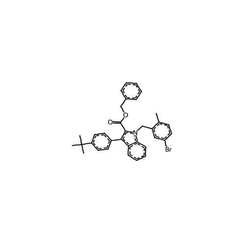 Cc1ccc(Br)cc1Cn1c(C(=O)OCc2ccccc2)c(-c2ccc(C(C)(C)C)cc2)c2ccccc21